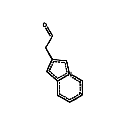 O=CCc1cc2ccccn2c1